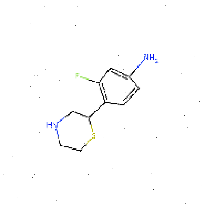 Nc1ccc(C2CNCCS2)c(F)c1